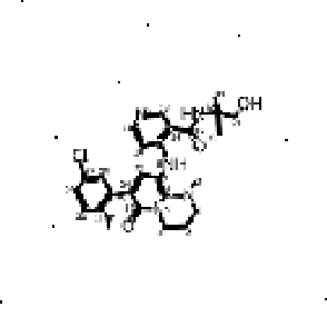 CN1CCCn2c1c(Nc1ccncc1C(=O)NC(C)(C)CO)cc(-c1cc(Cl)ccc1F)c2=O